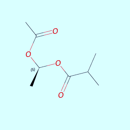 CC(=O)O[C@H](C)OC(=O)C(C)C